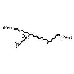 CCCCCC=CCCCCC(CCC=CCCCC(C)CCC/C=C\CCCCC)OC(=O)CCCN(C)C